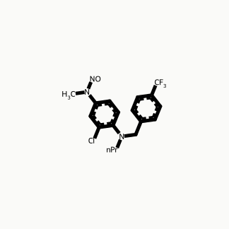 CCCN(Cc1ccc(C(F)(F)F)cc1)c1ccc(N(C)N=O)cc1Cl